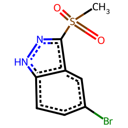 CS(=O)(=O)c1n[nH]c2ccc(Br)cc12